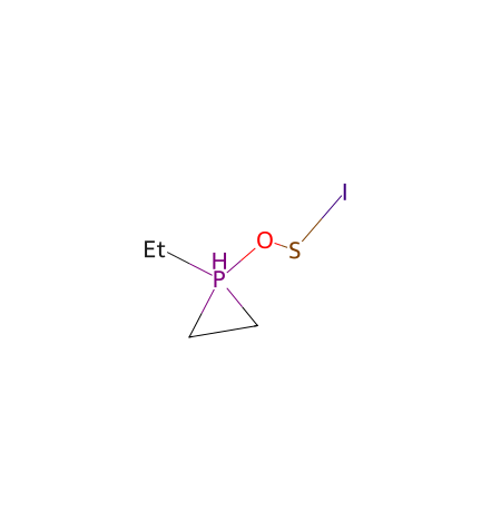 CC[PH]1(OSI)CC1